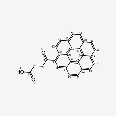 O=C(O)CCC(=O)c1cc2ccc3ccc4ccc5ccc6ccc1c1c6c5c4c3c21